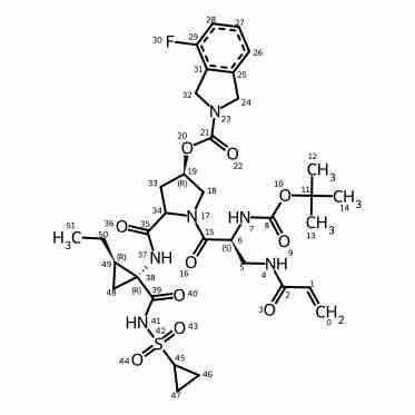 C=CC(=O)NC[C@H](NC(=O)OC(C)(C)C)C(=O)N1C[C@H](OC(=O)N2Cc3cccc(F)c3C2)CC1C(=O)N[C@]1(C(=O)NS(=O)(=O)C2CC2)C[C@H]1CC